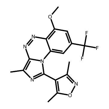 COc1cc(C(F)(F)F)cc2c1nnc1c(C)nc(-c3c(C)noc3C)n12